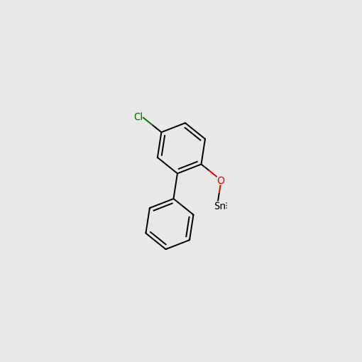 Clc1ccc([O][Sn])c(-c2ccccc2)c1